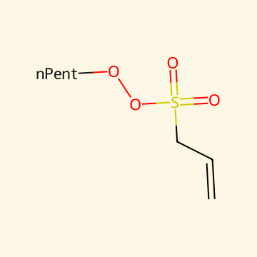 C=CCS(=O)(=O)OOCCCCC